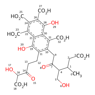 CC(CC(=O)O)C(CO)C(=O)Cc1c(CCC(=O)C(O)C(=O)O)c(O)c2c(C(=O)O)c(C(=O)O)c(C(=O)O)c(O)c2c1C(=O)O